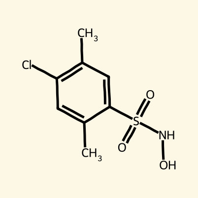 Cc1cc(S(=O)(=O)NO)c(C)cc1Cl